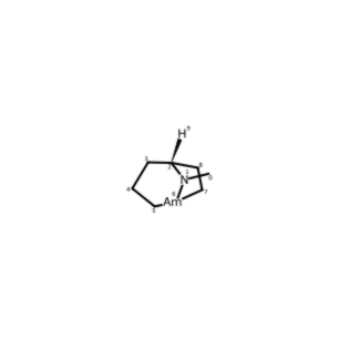 C[N]1[C@@H]2CC[CH2][Am]1[CH2]C2